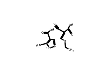 CCOC=C(C#N)C(=O)O.Nc1[nH]ncc1C(=O)O